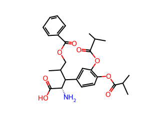 CC(C)C(=O)Oc1ccc(C(C(C)COC(=O)c2ccccc2)[C@H](N)C(=O)O)cc1OC(=O)C(C)C